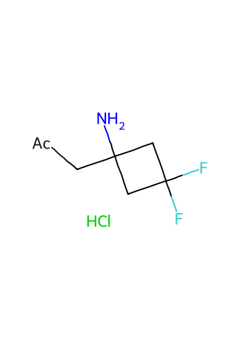 CC(=O)CC1(N)CC(F)(F)C1.Cl